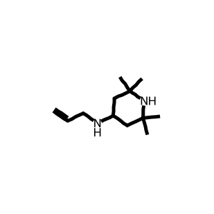 C=CCNC1CC(C)(C)NC(C)(C)C1